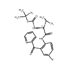 CC(C)[C@H](NC(=O)OC(C)(C)C)C(=O)Nc1ccc(Br)cc1C(=O)c1ccccn1